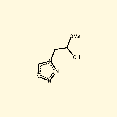 COC(O)Cn1[c]nnn1